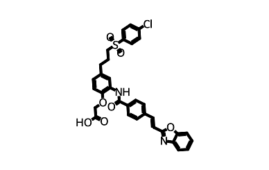 O=C(O)COc1ccc(CCCS(=O)(=O)c2ccc(Cl)cc2)cc1NC(=O)c1ccc(C=Cc2nc3ccccc3o2)cc1